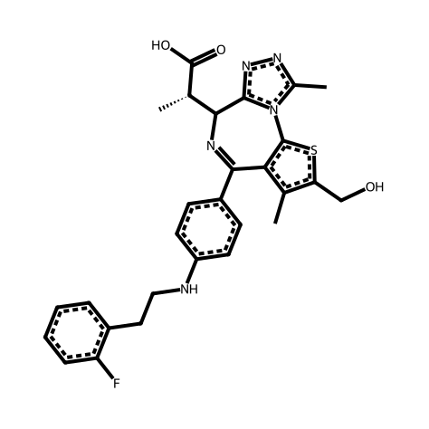 Cc1c(CO)sc2c1C(c1ccc(NCCc3ccccc3F)cc1)=NC([C@H](C)C(=O)O)c1nnc(C)n1-2